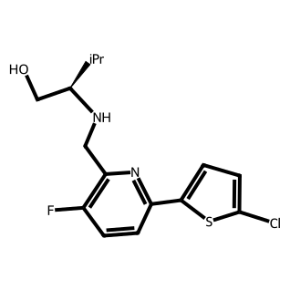 CC(C)[C@H](CO)NCc1nc(-c2ccc(Cl)s2)ccc1F